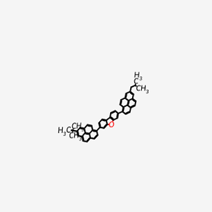 CC(C)Cc1cc2ccc3ccc(-c4ccc5c(c4)oc4cc(-c6ccc7ccc8cc(C(C)(C)C)cc9ccc6c7c89)ccc45)c4ccc(c1)c2c34